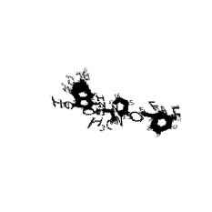 Cc1nc2c(OCc3cccc(F)c3F)cccn2c1C(=O)N[C@@H]1c2ccccc2[C@H](O)[C@H]1O